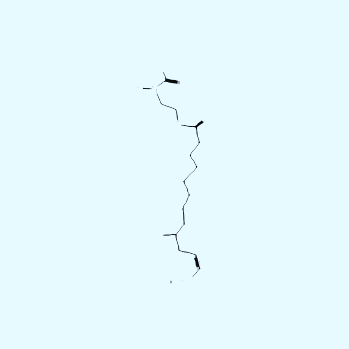 C=C(CCCCCCCC(C)C/C=C\CCCCC)OCCN(CCC)C(=O)CC